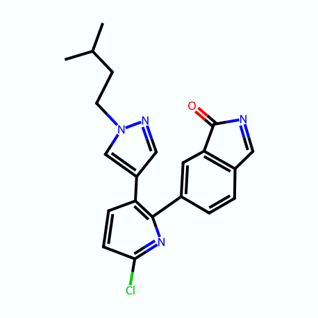 CC(C)CCn1cc(-c2ccc(Cl)nc2-c2ccc3c(c2)C(=O)N=C3)cn1